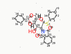 Cc1ccc(S[C@@H]2O[C@@H]3COC(c4ccccc4)O[C@@H]3[C@H](O)[C@H]2N2C(=O)c3ccccc3C2=O)cc1